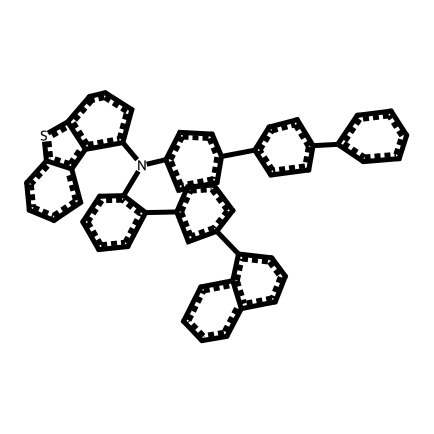 c1ccc(-c2ccc(-c3ccc(N(c4ccccc4-c4cccc(-c5cccc6ccccc56)c4)c4cccc5sc6ccccc6c45)cc3)cc2)cc1